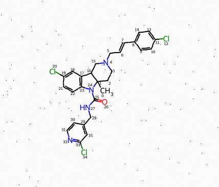 CC12CCN(C/C=C/c3ccc(Cl)cc3)CC1c1cc(Cl)ccc1N2C(=O)NCc1ccnc(Cl)c1